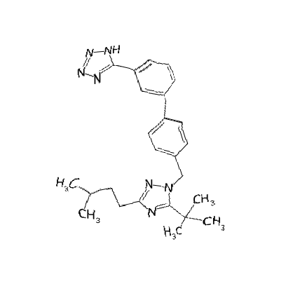 CC(C)CCc1nc(C(C)(C)C)n(Cc2ccc(-c3cccc(-c4nnn[nH]4)c3)cc2)n1